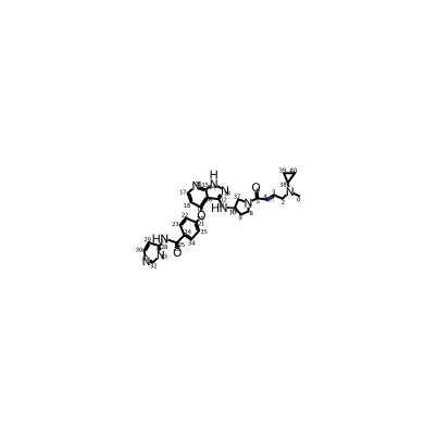 CN(C/C=C/C(=O)N1CC[C@@H](Nc2n[nH]c3nccc(Oc4ccc(C(=O)Nc5ccncn5)cc4)c23)C1)C1CC1